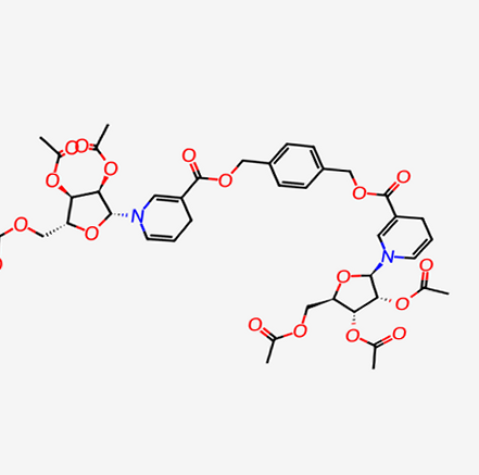 CC(=O)OC[C@H]1O[C@@H](N2C=CCC(C(=O)OCc3ccc(COC(=O)C4=CN([C@@H]5O[C@H](COC(C)=O)[C@@H](OC(C)=O)[C@H]5OC(C)=O)C=CC4)cc3)=C2)[C@H](OC(C)=O)[C@@H]1OC(C)=O